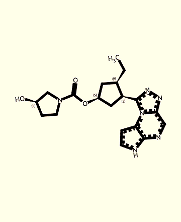 CC[C@@H]1C[C@H](OC(=O)N2CC[C@@H](O)C2)C[C@@H]1c1nnc2cnc3[nH]ccc3n12